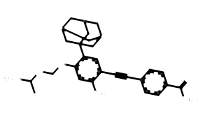 COC(=O)c1ccc(C#Cc2cc(C34CC5CC(CC(C5)C3)C4)c(OCOC(C)OC)cc2OC)cc1